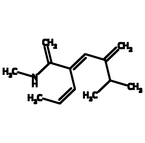 C=C(NC)C(/C=C\C)=C/C(=C)C(C)C